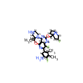 Cc1c(F)c(N)cc(-c2nc3c4c(nc(OCC56CCCN5C[C@H](F)C6)nc4c2F)N2CCNC[C@H]2[C@@H](C)O3)c1C(F)(F)F